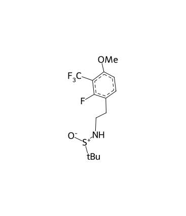 COc1ccc(CCN[S+]([O-])C(C)(C)C)c(F)c1C(F)(F)F